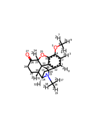 [2H]c1c([2H])c(OC([2H])([2H])[2H])c2c3c1C[C@H]1N(C([2H])([2H])[2H])CC[C@@]34C([2H])(O2)C(=O)CC[C@@]14[2H]